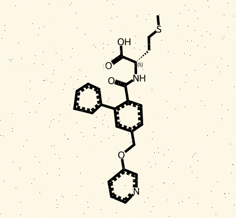 CSCC[C@H](NC(=O)c1ccc(COc2cccnc2)cc1-c1ccccc1)C(=O)O